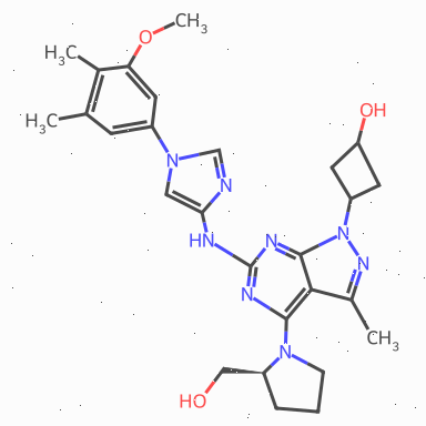 COc1cc(-n2cnc(Nc3nc(N4CCC[C@H]4CO)c4c(C)nn(C5CC(O)C5)c4n3)c2)cc(C)c1C